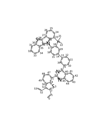 C=Cc1sc2c(-c3nc(-c4cccc(-c5ccc6c(c5)C(C)(C)c5cccc7c8sc9ccccc9c8n-6c57)c4)c4ccccc4n3)cccc2c1C=C